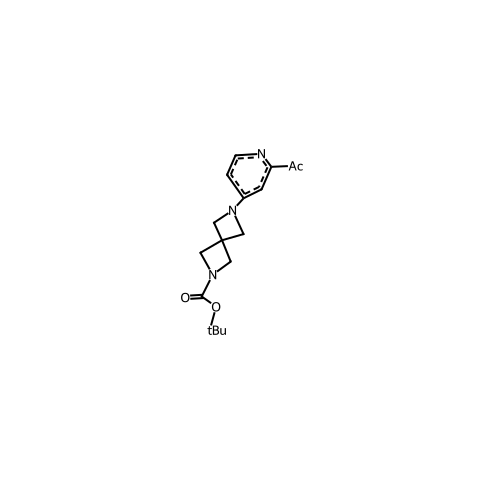 CC(=O)c1cc(N2CC3(CN(C(=O)OC(C)(C)C)C3)C2)ccn1